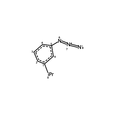 CC(C)c1cccc(N=[N+]=[N-])c1